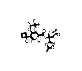 Cc1nc(C(C)(CS(C)(=O)=O)NC(=O)C2C=C(O[C@@H](C)C(F)(F)F)C(C3(O)CCC3)=CN2C)no1